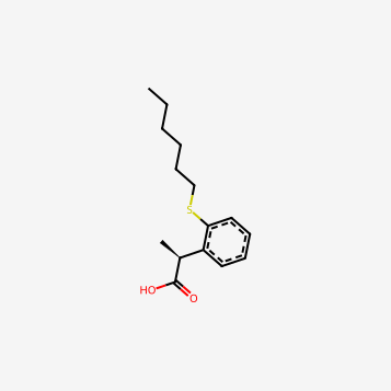 CCCCCCSc1ccccc1[C@H](C)C(=O)O